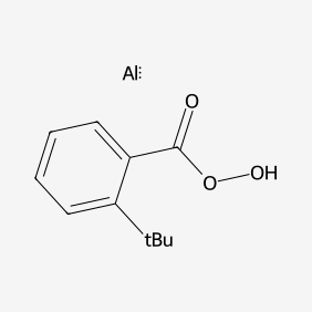 CC(C)(C)c1ccccc1C(=O)OO.[Al]